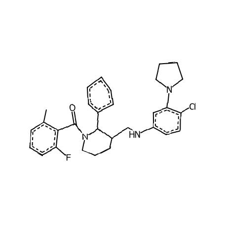 Cc1cccc(F)c1C(=O)N1CCCC(CNc2ccc(Cl)c(N3CCCC3)c2)C1c1ccccc1